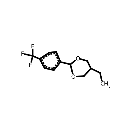 CCC1COC(c2ccc(C(F)(F)F)cc2)OC1